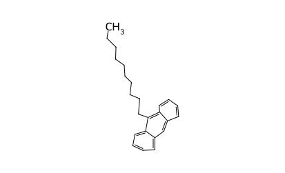 CCCCCCCCCCc1c2ccccc2cc2ccccc12